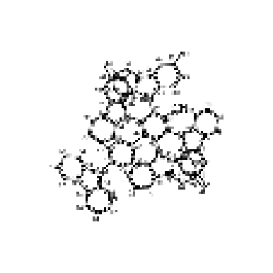 Cc1ccc2c(c1)c1ccccc1n2-c1c(C#N)c(-n2c3ccccc3c3cc(C)ccc32)c(-n2c3ccccc3c3cc(C)ccc32)c(-c2ccc(-n3c4ccccc4c4cccnc43)cc2)c1-n1c2ccccc2c2cc(C)ccc21